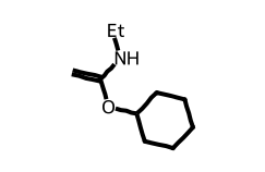 C=C(NCC)OC1CCCCC1